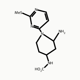 CSc1nccc(N2CCC(NC(=O)O)CC2N)n1